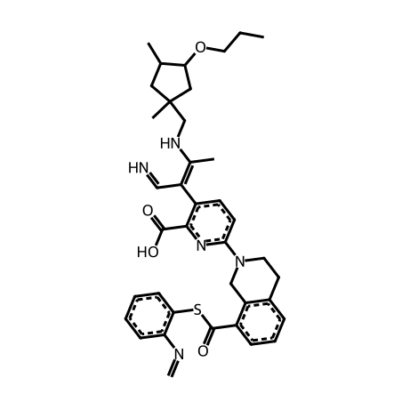 C=Nc1ccccc1SC(=O)c1cccc2c1CN(c1ccc(/C(C=N)=C(\C)NCC3(C)CC(C)C(OCCC)C3)c(C(=O)O)n1)CC2